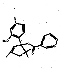 CC1=CC(OC(=O)c2cccnc2)(c2ccc(F)cc2OCC(C)C)C(C)(C)C1